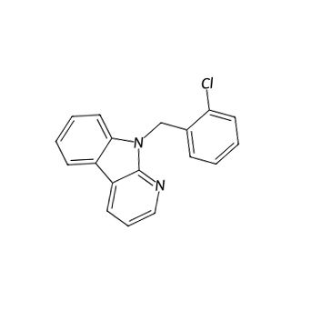 Clc1ccccc1Cn1c2ccccc2c2cccnc21